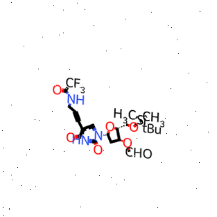 CC(C)(C)[Si](C)(C)OC[C@H]1O[C@@H](n2cc(C#CCNC(=O)C(F)(F)F)c(=O)[nH]c2=O)C[C@@H]1OC=O